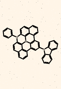 c1ccc(N2c3ccc4cccc5c4c3B3c4c-5cc(-n5c6ccccc6c6ccccc65)cc4-c4cccc5ccc2c3c45)cc1